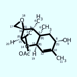 CC(=O)OC1C[C@]2(C)[C@@]3(C)C[C@H](O)C(C)=C[C@H]3O[C@H]1[C@@]21CO1